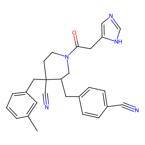 Cc1cccc(CC2(C#N)CCN(C(=O)Cc3cnc[nH]3)CC2Cc2ccc(C#N)cc2)c1